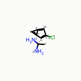 CC(N)N.Clc1cc2cc-2c1